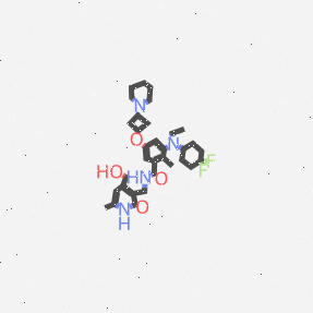 CCN(c1cc(O[C@H]2C[C@H](N3CCCCC3)C2)cc(C(=O)NCc2c(CO)cc(C)[nH]c2=O)c1C)C1CCC(F)(F)CC1